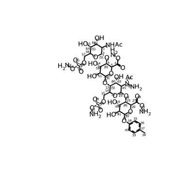 CC(=O)NC1[C@H](O[C@H]2C(C(=O)ON)O[C@@H](O[C@@H]3C(COS(=O)(=O)ON)O[C@H](O[C@H]4C(C(=O)ON)O[C@@H](Oc5ccc(C)cc5)C(O)[C@@H]4O)C(N(N)C(C)=O)[C@H]3O)C(O)[C@@H]2O)OC(COS(=O)(=O)ON)[C@@H](O)[C@@H]1O